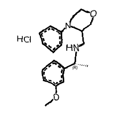 COc1cccc([C@@H](C)NCC2COCCN2c2ccccc2)c1.Cl